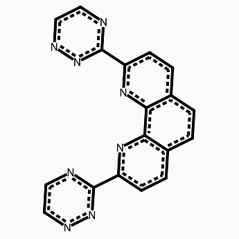 c1cnc(-c2ccc3ccc4ccc(-c5nccnn5)nc4c3n2)nn1